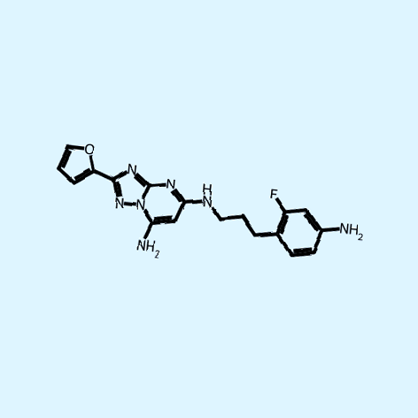 Nc1ccc(CCCNc2cc(N)n3nc(-c4ccco4)nc3n2)c(F)c1